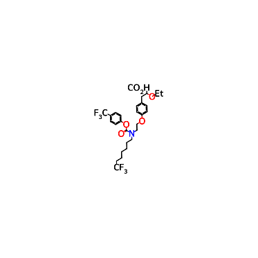 CCOC(Cc1ccc(OCCN(CCCCCCC(F)(F)F)C(=O)Oc2ccc(C(F)(F)F)cc2)cc1)C(=O)O